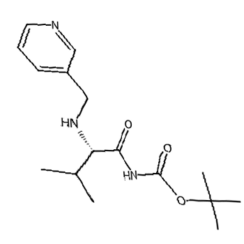 CC(C)[C@H](NCc1cccnc1)C(=O)NC(=O)OC(C)(C)C